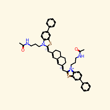 CC(=O)NCCCN1/C(=C/C2=CC3=C/C(=C/c4sc5cc(-c6ccccc6)ccc5[n+]4CCCNC(C)=O)CCC3CC2)Sc2cc(-c3ccccc3)ccc21